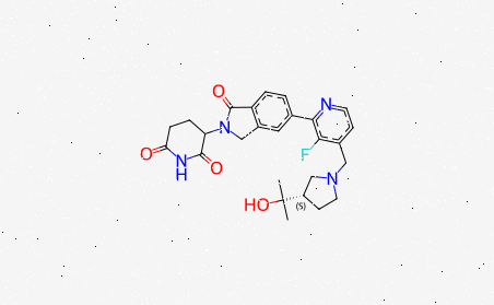 CC(C)(O)[C@H]1CCN(Cc2ccnc(-c3ccc4c(c3)CN(C3CCC(=O)NC3=O)C4=O)c2F)C1